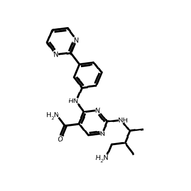 CC(CN)C(C)Nc1ncc(C(N)=O)c(Nc2cccc(-c3ncccn3)c2)n1